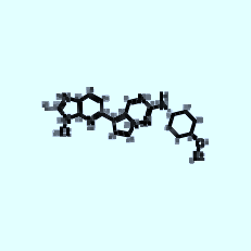 CCO[C@H]1CC[C@H](Nc2ncc3c(-c4ccc5nc(C)n(CC)c5n4)ccn3n2)CC1